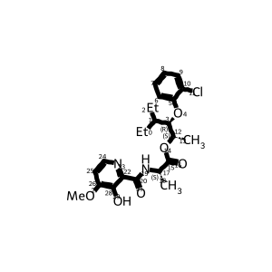 CCC(CC)[C@@H](Oc1ccccc1Cl)[C@H](C)OC(=O)[C@H](C)NC(=O)c1nccc(OC)c1O